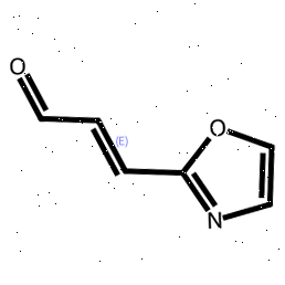 O=C/C=C/c1ncco1